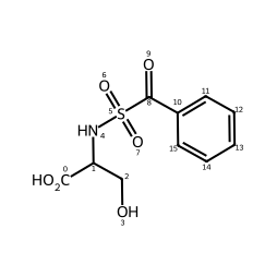 O=C(O)C(CO)NS(=O)(=O)C(=O)c1ccccc1